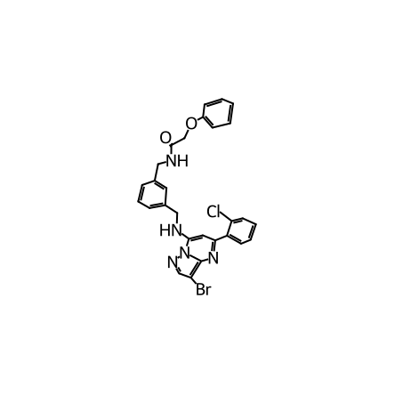 O=C(COc1ccccc1)NCc1cccc(CNc2cc(-c3ccccc3Cl)nc3c(Br)cnn23)c1